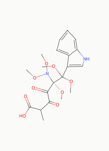 CON(OC)[C@](OC)(C(=O)C(=O)C(C)C(=O)O)C(OC)(OC)c1c[nH]c2ccccc12